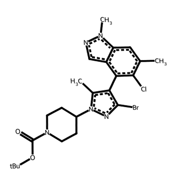 Cc1cc2c(cnn2C)c(-c2c(Br)nn(C3CCN(C(=O)OC(C)(C)C)CC3)c2C)c1Cl